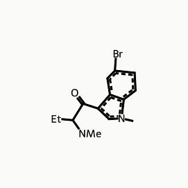 CCC(NC)C(=O)c1cn(C)c2ccc(Br)cc12